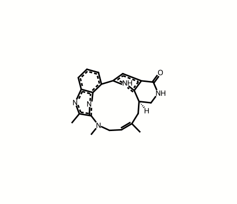 C/C1=C/CN(C)c2nc3c(cccc3nc2C)-c2cc3c([nH]2)[C@@H](CNC3=O)C1